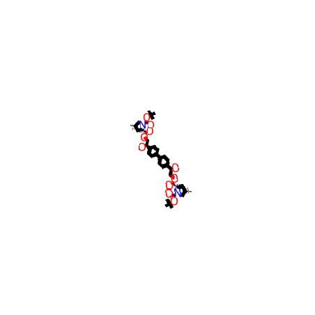 C[C@H]1C[C@@H](C(=O)OCC(=O)c2ccc(-c3ccc(C(=O)COC(=O)[C@@H]4C[C@H](C)CN4C(=O)OC(C)(C)C)cc3)cc2)N(C(=O)OC(C)(C)C)C1